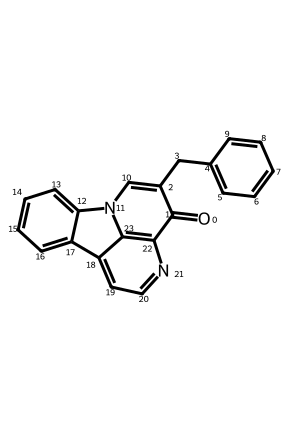 O=c1c(Cc2ccccc2)cn2c3ccccc3c3ccnc1c32